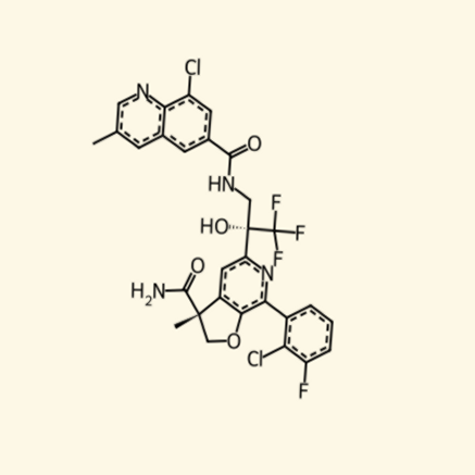 Cc1cnc2c(Cl)cc(C(=O)NC[C@](O)(c3cc4c(c(-c5cccc(F)c5Cl)n3)OC[C@]4(C)C(N)=O)C(F)(F)F)cc2c1